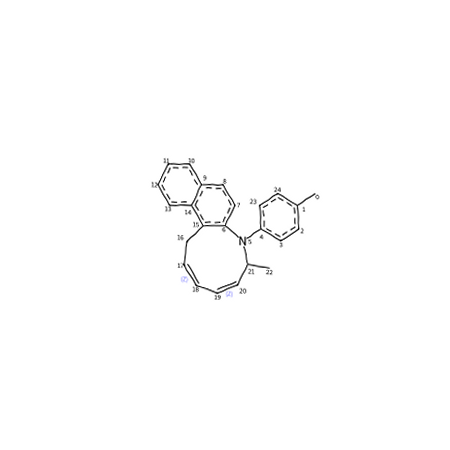 Cc1ccc(N2c3ccc4ccccc4c3C/C=C\C=C/C2C)cc1